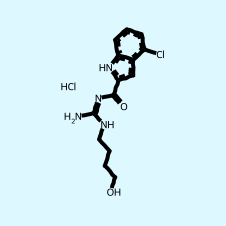 Cl.NC(=NC(=O)c1cc2c(Cl)cccc2[nH]1)NCCCCO